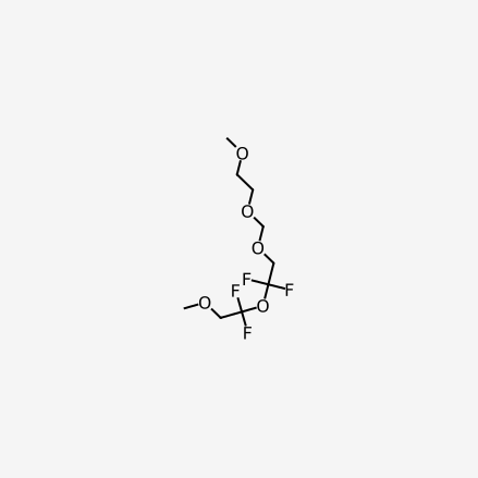 COCCOCOCC(F)(F)OC(F)(F)COC